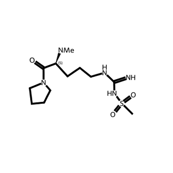 CN[C@@H](CCCNC(=N)NS(C)(=O)=O)C(=O)N1CCCC1